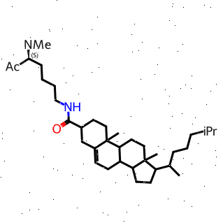 CN[C@@H](CCCCNC(=O)C1CCC2(C)C(=CCC3C2CCC2(C)C(C(C)CCCC(C)C)CCC32)C1)C(C)=O